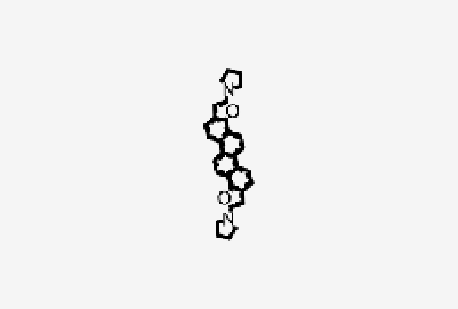 c1cc2c3ccc4c(ccc5cc(N6CCCC6)oc54)c3ccc2c2oc(N3CCCC3)cc12